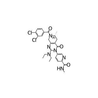 CCN(CC)c1nc2c(c(=O)n1-c1ccc(C(=O)NC)nc1)C[C@@H](C)N(C(=O)c1ccc(Cl)c(Cl)c1)C2